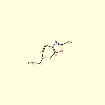 CCCCc1nc2ccc(CC(=O)OCC)cc2o1